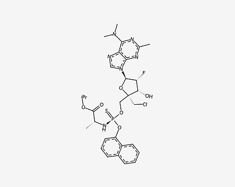 Cc1nc(N(C)C)c2ncn([C@@H]3O[C@](CCl)(CO[P@](=S)(N[C@H](C)C(=O)OC(C)C)Oc4cccc5ccccc45)[C@@H](O)[C@H]3F)c2n1